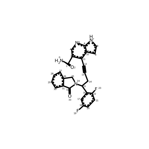 NC(=O)c1cnc2[nH]ccc2c1C#CCC(c1cc(F)ccc1F)N1Cc2ccccc2C1=O